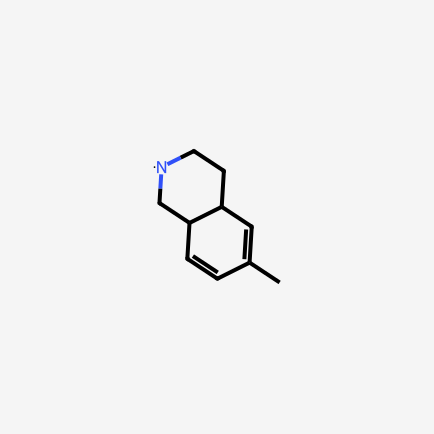 CC1=CC2CC[N]CC2C=C1